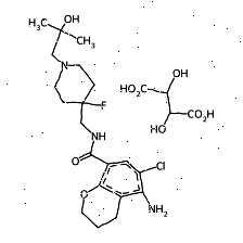 CC(C)(O)CN1CCC(F)(CNC(=O)c2cc(Cl)c(N)c3c2OCCC3)CC1.O=C(O)C(O)C(O)C(=O)O